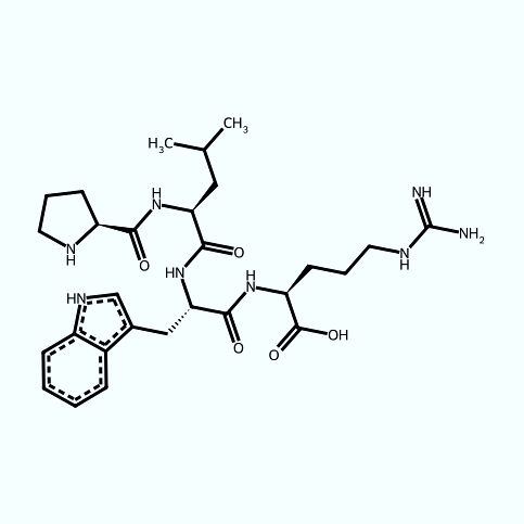 CC(C)C[C@H](NC(=O)[C@@H]1CCCN1)C(=O)N[C@@H](Cc1c[nH]c2ccccc12)C(=O)N[C@@H](CCCNC(=N)N)C(=O)O